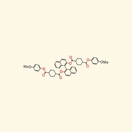 COc1ccc(OC(=O)C2CCC(C(=O)Oc3ccc4ccccc4c3-c3c(OC(=O)C4CCC(C(=O)Oc5ccc(OC)cc5)CC4)ccc4ccccc34)CC2)cc1